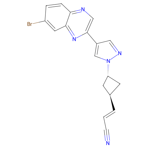 N#CC=C[C@H]1C[C@H](n2cc(-c3cnc4ccc(Br)cc4n3)cn2)C1